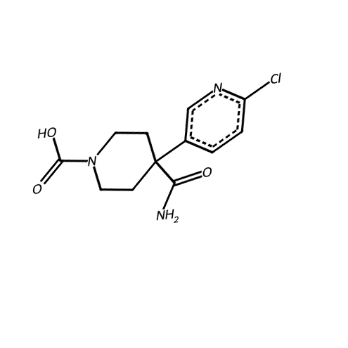 NC(=O)C1(c2ccc(Cl)nc2)CCN(C(=O)O)CC1